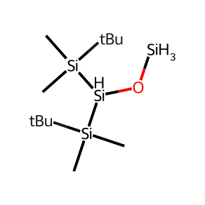 CC(C)(C)[Si](C)(C)[SiH](O[SiH3])[Si](C)(C)C(C)(C)C